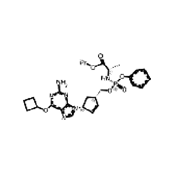 CC(C)OC(=O)[C@H](C)N[P@](=O)(OC[C@@H]1C=C[C@H](n2cnc3c(OC4CCC4)nc(N)nc32)C1)Oc1ccccc1